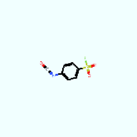 O=C=Nc1ccc(S(=O)(=O)F)cc1